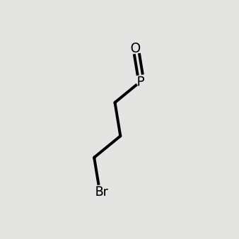 O=PCCCBr